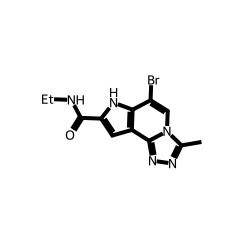 CCNC(=O)c1cc2c([nH]1)c(Br)cn1c(C)nnc21